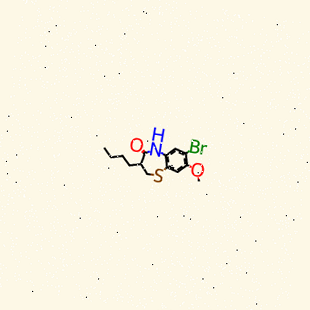 CCCCC1CSc2cc(OC)c(Br)cc2NC1=O